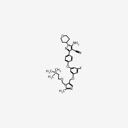 Cc1ncc(COc2cc(F)cc(Oc3ccc(-c4nn(C5CCOCC5)c(N)c4C#N)cc3)c2)n1COCC[Si](C)(C)C